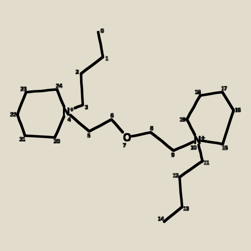 CCCC[N+]1(CCOCC[N+]2(CCCC)CCCCC2)CCCCC1